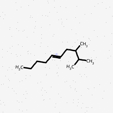 CCCC/C=C/CC(C)C(C)C